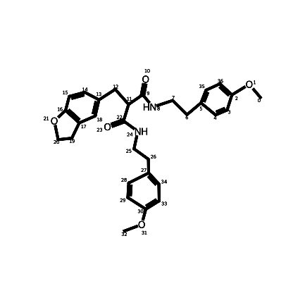 COc1ccc(CCNC(=O)C(Cc2ccc3c(c2)CCO3)C(=O)NCCc2ccc(OC)cc2)cc1